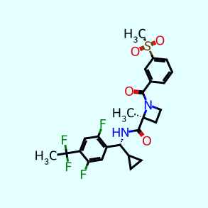 CC(F)(F)c1cc(F)c([C@H](NC(=O)[C@]2(C)CCN2C(=O)c2cccc(S(C)(=O)=O)c2)C2CC2)cc1F